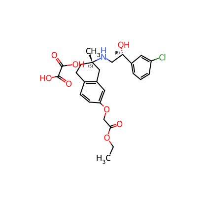 CCOC(=O)COc1ccc2c(c1)C[C@@](C)(NC[C@H](O)c1cccc(Cl)c1)CC2.O=C(O)C(=O)O